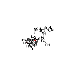 CC(C)C(=O)Nc1nc2c(nnn2[C@@H]2O[C@@H]3CO[P@](=O)(S)O[C@H]4C[C@H](Oc5ccncn5)C[C@@H]4CO[P@](=S)(OCCC#N)O[C@@H]2[C@@H]3O[Si](O[Si](O)(C(C)C)C(C)C)(C(C)C)C(C)C)c(=O)[nH]1